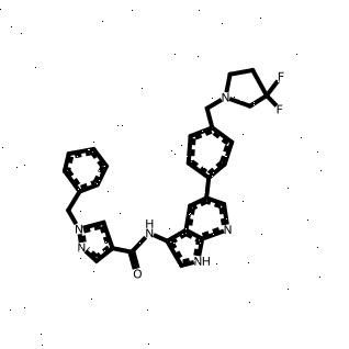 O=C(Nc1c[nH]c2ncc(-c3ccc(CN4CCC(F)(F)C4)cc3)cc12)c1cnn(Cc2ccccc2)c1